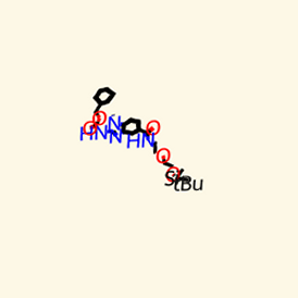 Cn1c(NC(=O)OCc2ccccc2)nc2cc(C(=O)NCCOCCO[Si](C)(C)C(C)(C)C)ccc21